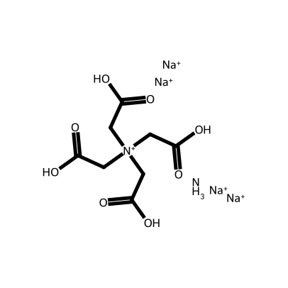 N.O=C(O)C[N+](CC(=O)O)(CC(=O)O)CC(=O)O.[Na+].[Na+].[Na+].[Na+]